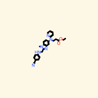 CCOC(=O)CCN(c1ccc2c(c1)nc(CNc1ccc(C#N)cc1)n2C)c1ccccn1